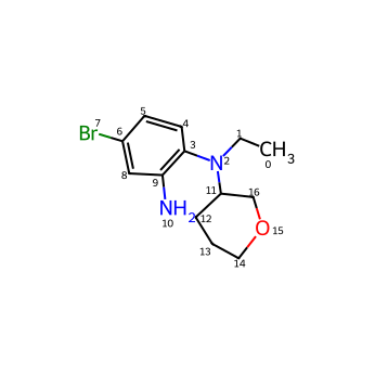 CCN(c1ccc(Br)cc1N)C1CCCOC1